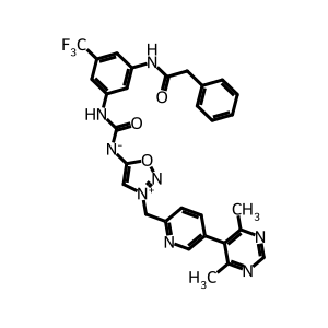 Cc1ncnc(C)c1-c1ccc(C[n+]2cc([N-]C(=O)Nc3cc(NC(=O)Cc4ccccc4)cc(C(F)(F)F)c3)on2)nc1